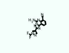 N#Cc1cccc2c1nc(N)n1nc(-c3cnn(C(F)F)c3)nc21